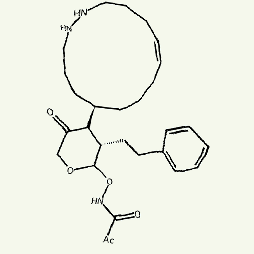 CC(=O)C(=O)NOC1OCC(=O)C([C@@H]2CCC/C=C\CCCNNCCC2)[C@@H]1CCc1ccccc1